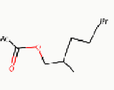 CC(=O)C(=O)OCC(C)CCC(C)C